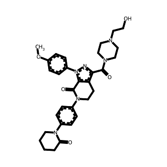 COc1ccc(-n2nc(C(=O)N3CCN(CCO)CC3)c3c2C(=O)N(c2ccc(N4CCCCC4=O)cc2)CC3)cc1